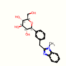 Cn1c(Cc2cccc([C@@H]3O[C@H](CO)[C@@H](O)[C@H](O)[C@H]3O)c2)nc2ccccc21